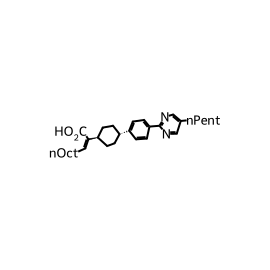 CCCCCCCCC=C(C(=O)O)[C@H]1CC[C@H](c2ccc(-c3ncc(CCCCC)cn3)cc2)CC1